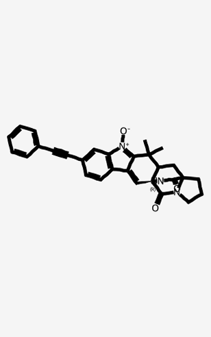 CC1(C)C2=[N+]([O-])c3cc(C#Cc4ccccc4)ccc3C2=C[C@@]23NC(=O)C4(CCCN4C2=O)CC13